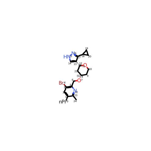 CCCc1cc(Br)c(CO[C@H]2CCO[C@@H](c3c[nH]nc3C3CC3)C2)nc1C